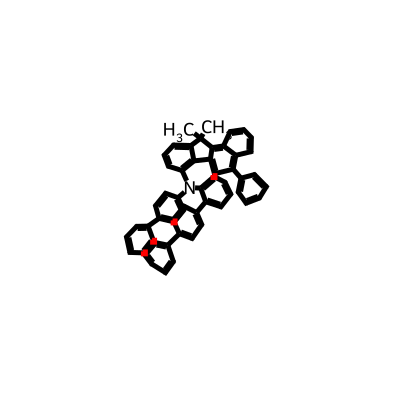 CC1(C)c2cccc(N(c3ccc(-c4ccccc4)cc3)c3ccccc3-c3ccc(-c4ccccc4)cc3)c2-c2cc(-c3ccccc3)c3ccccc3c21